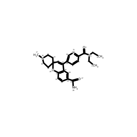 CCN(CC)C(=O)c1ccc(C2=CC3(CCN(C)CC3)Oc3ccc(C(N)=O)cc32)cn1